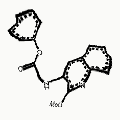 COc1nc2ccccc2cc1NC(=O)Oc1ccccc1